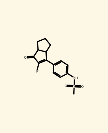 CS(=O)(=O)Nc1ccc(C2=C(Br)C(=O)C3CCCC23)cc1